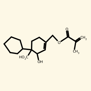 C=C(C)C(=O)OCC1=CC(O)C(C(=O)O)(C2CCCCC2)CC1